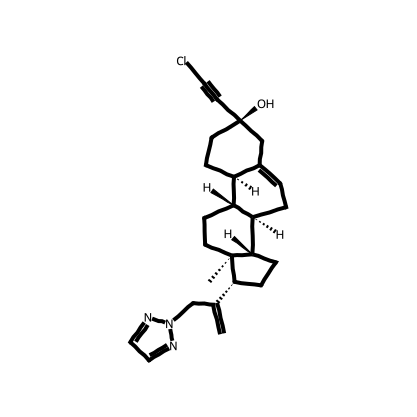 C=C(Cn1nccn1)[C@H]1CC[C@H]2[C@@H]3CC=C4C[C@@](O)(C#CCl)CC[C@@H]4[C@H]3CC[C@]12C